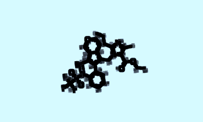 CCCc1nc(C)c(C(=O)OCC)n1Cc1c2ccocc-2c(Br)c1-c1ccccc1NS(=O)(=O)C(F)(F)F